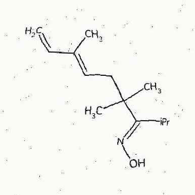 C=C/C(C)=C/CC(C)(C)/C(=N/O)C(C)C